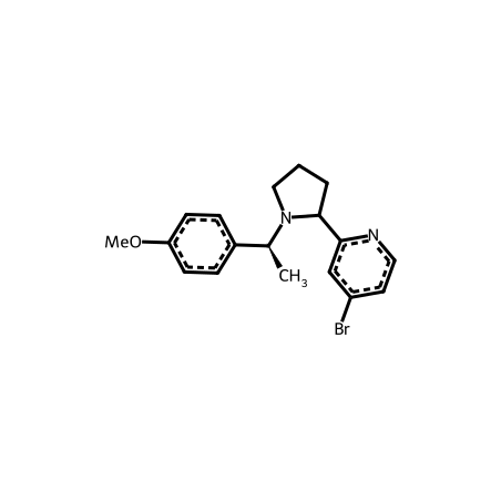 COc1ccc([C@H](C)N2CCCC2c2cc(Br)ccn2)cc1